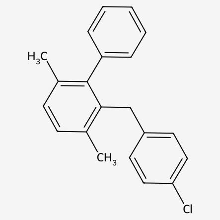 Cc1ccc(C)c(-c2ccccc2)c1Cc1ccc(Cl)cc1